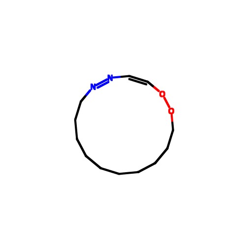 C1=COOCCCCCCCCCCN=N1